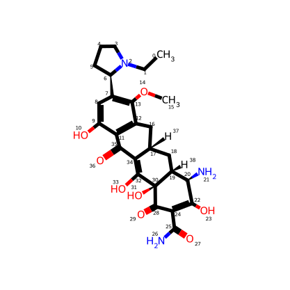 CCN1CCC[C@@H]1c1cc(O)c2c(c1OC)C[C@@H]1C[C@@H]3[C@@H](N)C(O)=C(C(N)=O)C(=O)[C@]3(O)C(O)=C1C2=O